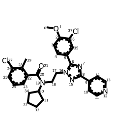 COc1ccc(-c2nc(-c3ccncc3)nn2CCN(C(=O)c2cccc(Cl)c2C)C2CCCC2)cc1Cl